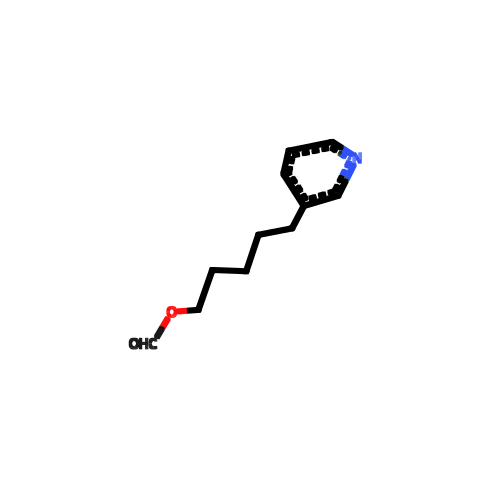 O=COCCCCCc1cccnc1